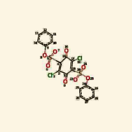 O=C1C(Cl)=C(S(=O)(=O)Oc2ccccc2)C(=O)C(Cl)=C1S(=O)(=O)Oc1ccccc1